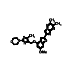 COc1cc(OCc2nc(N3CCOCC3)sc2C)c2cc(-c3cn4nc(C)c(C)nc4n3)oc2c1